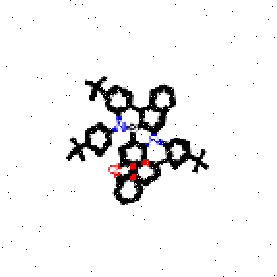 CC(C)(C)c1ccc(N2B3c4cc5oc6ccccc6c5cc4N(c4ccc(C(C)(C)C)cc4-c4ccccc4)c4cc5ccccc5c(c43)-c3ccc(C(C)(C)C)cc32)cc1